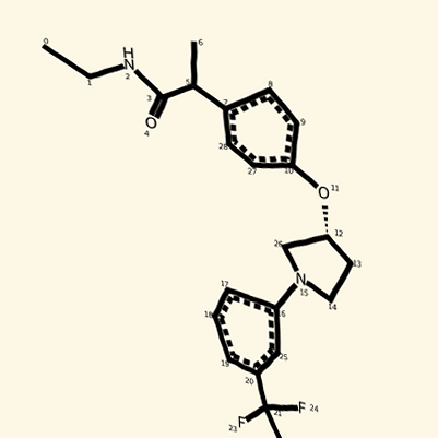 CCNC(=O)C(C)c1ccc(O[C@@H]2CCN(c3cccc(C(F)(F)F)c3)C2)cc1